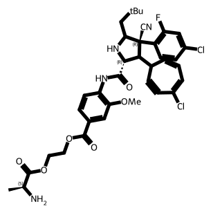 COc1cc(C(=O)OCCOC(=O)[C@H](C)N)ccc1NC(=O)[C@@H]1NC(CC(C)(C)C)[C@](C#N)(c2ccc(Cl)cc2F)C1C1C#CC(Cl)=CC=C1